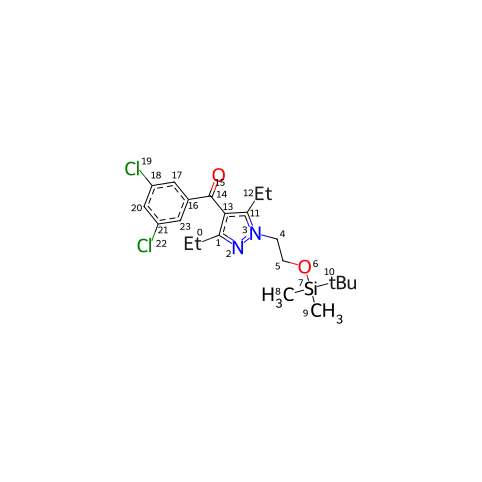 CCc1nn(CCO[Si](C)(C)C(C)(C)C)c(CC)c1C(=O)c1cc(Cl)cc(Cl)c1